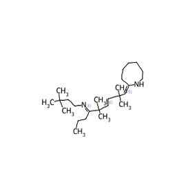 CCC/C(=N\CCC(C)(C)C)C(C)(C)/C=C/C(C)(C)/C=C1\CCCCCCN1